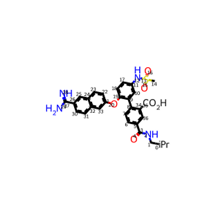 CC(C)CNC(=O)c1ccc(-c2cc(NS(C)(=O)=O)ccc2Oc2ccc3cc(C(=N)N)ccc3c2)c(C(=O)O)c1